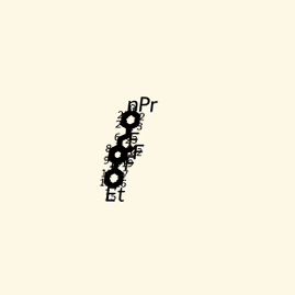 CCCC1CCC(CCc2ccc(C3CCC(CC)CC3)c(F)c2C(F)F)CC1